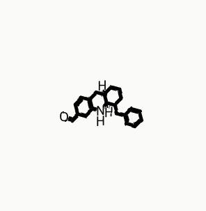 O=CC1C=CC2=C(C1)N[C@@H]1C(Cc3ccccc3)CCC[C@@H]1C2